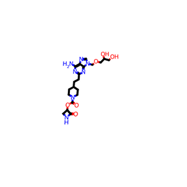 Nc1nc(CCC2CCN(C(=O)OC3CNC3=O)CC2)nc2c1ncn2COCC(O)CO